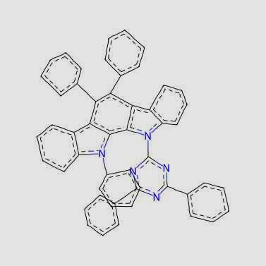 c1ccc(-c2nc(-c3ccccc3)nc(-n3c4ccccc4c4c(-c5ccccc5)c(-c5ccccc5)c5c6ccccc6n(-c6ccccc6)c5c43)n2)cc1